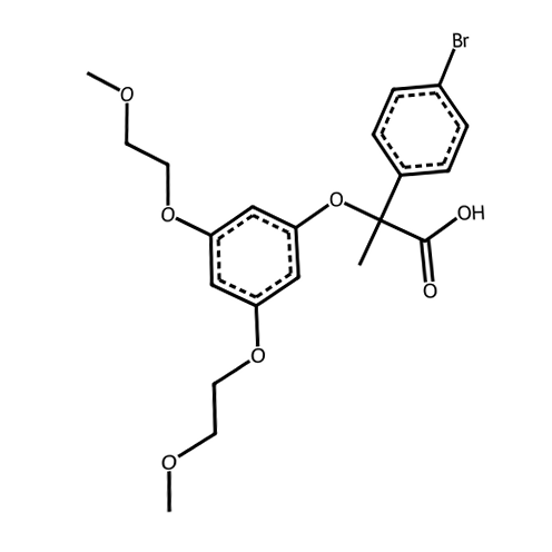 COCCOc1cc(OCCOC)cc(OC(C)(C(=O)O)c2ccc(Br)cc2)c1